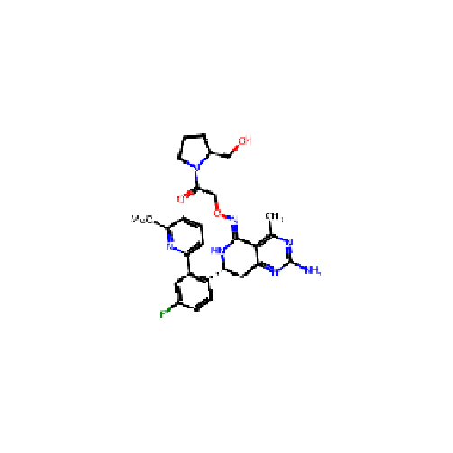 COc1cccc(-c2cc(F)ccc2[C@H]2Cc3nc(N)nc(C)c3/C(=N/OCC(=O)N3CCC[C@H]3CO)N2)n1